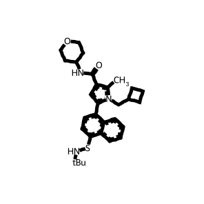 Cc1c(C(=O)NC2CCOCC2)cc(-c2ccc(SNC(C)(C)C)c3ccccc23)n1CC1CCC1